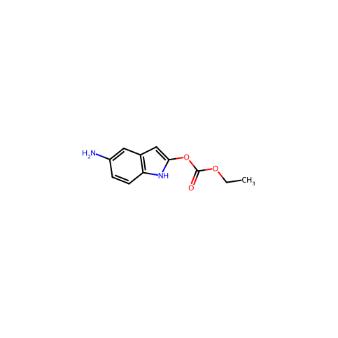 CCOC(=O)Oc1cc2cc(N)ccc2[nH]1